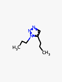 CCCc1cnnn1CCC